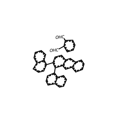 O=Cc1ccccc1C=O.c1ccc2cc3c(-c4cccc5ccccc45)c(-c4cccc5ccccc45)ccc3cc2c1